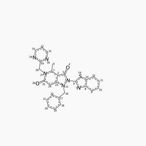 Cc1c2c(=O)n(-c3nc4ccccc4s3)n(Cc3ccccc3)c2cc(=O)n1Cc1ncccn1